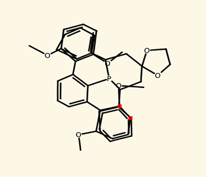 COc1cccc(OC)c1-c1cccc(-c2c(OC)cccc2OC)c1P1C(c2ccccc2)CC2(CC1c1ccccc1)OCCO2